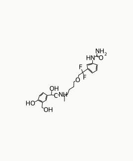 CC(CCCCOCC(F)(F)c1cccc(NC(N)=O)c1)NCC(O)c1ccc(O)c(CO)c1